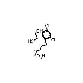 O=S(=O)(O)OCCOc1ccc(Cl)cc1Cl.OCCS